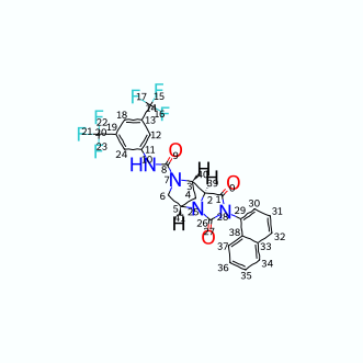 O=C1[C@@H]2[C@@H]3C[C@@H](CN3C(=O)Nc3cc(C(F)(F)F)cc(C(F)(F)F)c3)N2C(=O)N1c1cccc2ccccc12